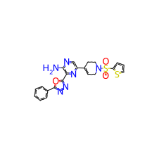 Nc1ncc(C2=CCN(S(=O)(=O)c3cccs3)CC2)nc1-c1nnc(-c2ccccc2)o1